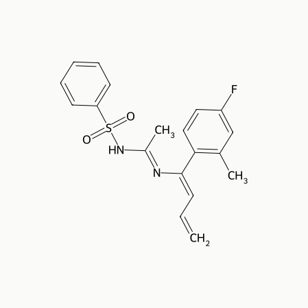 C=C/C=C(\N=C(/C)NS(=O)(=O)c1ccccc1)c1ccc(F)cc1C